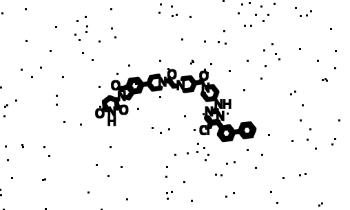 O=C1CCC(N2Cc3cc(C4CCN(C(=O)CN5CCC(C(=O)N6CCC(Nc7ncc(Cl)c(-c8cccc(-c9ccccc9)c8)n7)CC6)CC5)CC4)ccc3C2=O)C(=O)N1